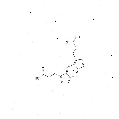 O=C(O)CCC1=CC=c2cc3c(cc21)=C(CCC(=O)O)C=C3